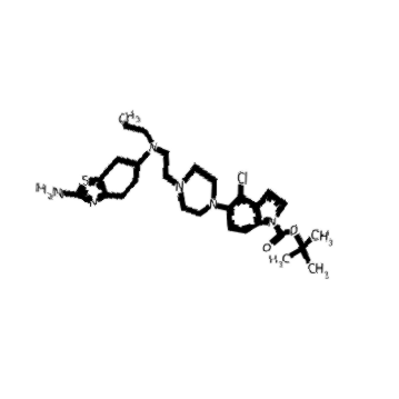 CCCN(CCN1CCN(c2ccc3c(ccn3C(=O)OC(C)(C)C)c2Cl)CC1)C1CCc2nc(N)sc2C1